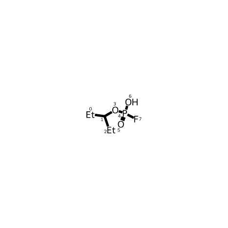 CCC(CC)OP(=O)(O)F